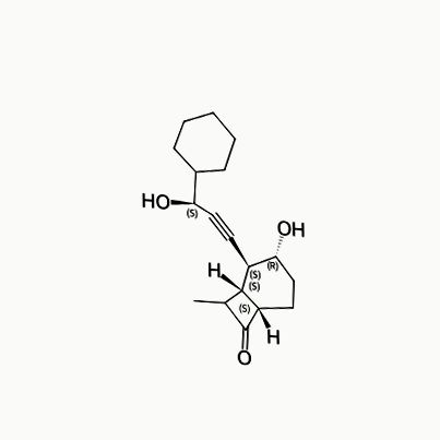 CC1C(=O)[C@H]2CC[C@@H](O)[C@H](C#C[C@@H](O)C3CCCCC3)[C@@H]12